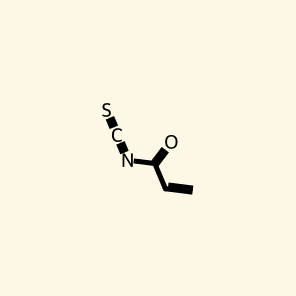 C=CC(=O)N=C=S